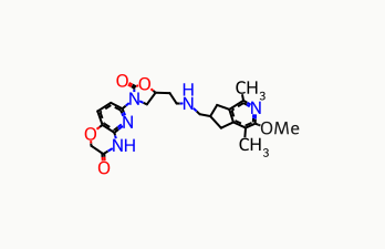 COc1nc(C)c2c(c1C)CC(CNCCC1CN(c3ccc4c(n3)NC(=O)CO4)C(=O)O1)C2